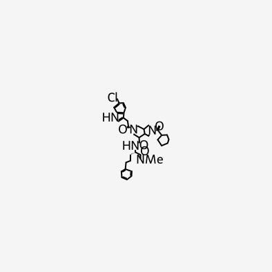 CNC(=O)[C@H](CCCc1ccccc1)NC(=O)C1CN(C(=O)Cc2c[nH]c3cc(Cl)ccc23)CC2CN(C(=O)C3CCCCC3)CC21